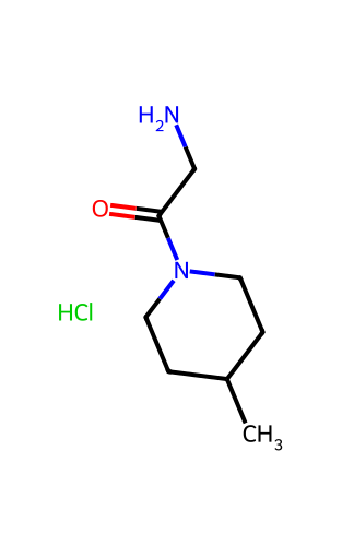 CC1CCN(C(=O)CN)CC1.Cl